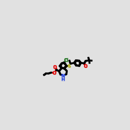 CCCCOC(=O)C1CNCCc2c1ccc(Cl)c2SC(C)c1ccc(C(=O)CC(C)(C)C)cc1